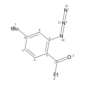 CCC(=O)c1ccc(C(C)(C)C)cc1N=[N+]=[N-]